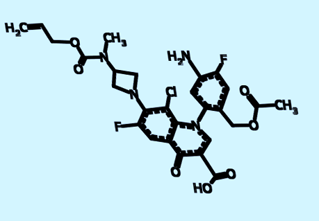 C=CCOC(=O)N(C)C1CN(c2c(F)cc3c(=O)c(C(=O)O)cn(-c4cc(N)c(F)cc4COC(C)=O)c3c2Cl)C1